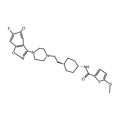 COc1ccc(C(=O)N[C@H]2CC[C@H](CCN3CCN(c4noc5cc(F)c(Cl)cc45)CC3)CC2)s1